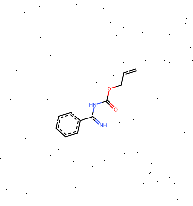 C=CCOC(=O)NC(=N)c1ccccc1